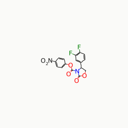 O=C1OCC(c2ccc(F)c(F)c2)N1C(=O)Oc1ccc([N+](=O)[O-])cc1